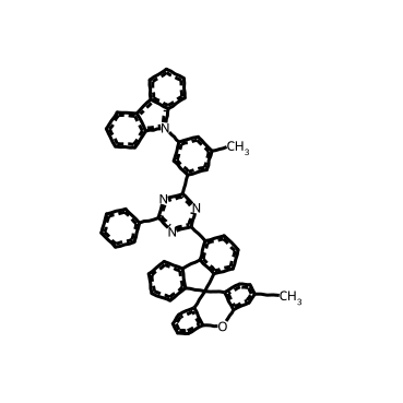 Cc1cc(-c2nc(-c3ccccc3)nc(-c3cccc4c3-c3ccccc3C43c4ccccc4Oc4cc(C)ccc43)n2)cc(-n2c3ccccc3c3ccccc32)c1